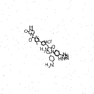 Cc1cc(C(=O)N2CCNC(=O)C2)ncc1-c1ccc(C[C@H](N)C(=O)N(c2ccc(-c3nnn[nH]3)cc2)C(=O)[C@H]2CC[C@H](CN)CC2)cc1.Cl